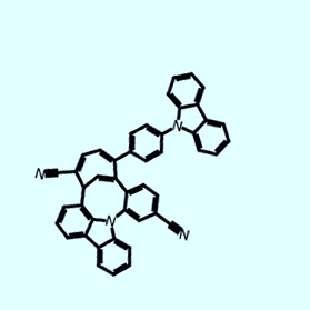 N#CC1=CC=C(c2ccc(-n3c4ccccc4c4ccccc43)cc2)C2=CC1c1cccc3c4ccccc4n(c13)-c1cc(C#N)ccc12